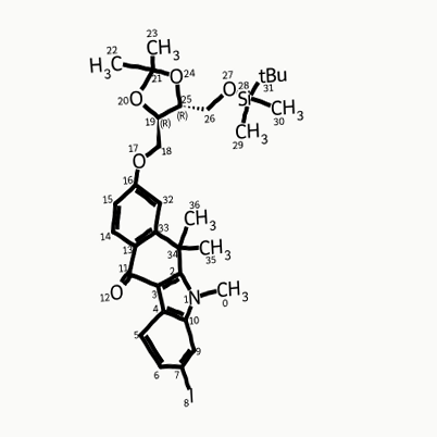 Cn1c2c(c3ccc(I)cc31)C(=O)c1ccc(OC[C@H]3OC(C)(C)O[C@@H]3CO[Si](C)(C)C(C)(C)C)cc1C2(C)C